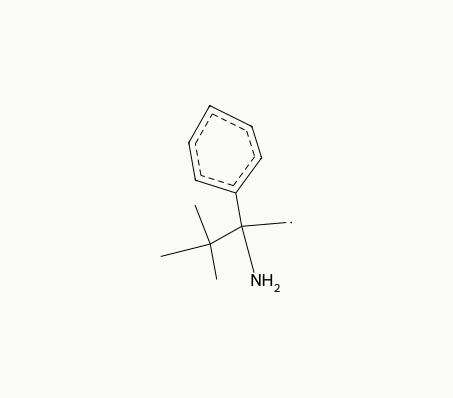 [CH2]C(N)(c1ccccc1)C(C)(C)C